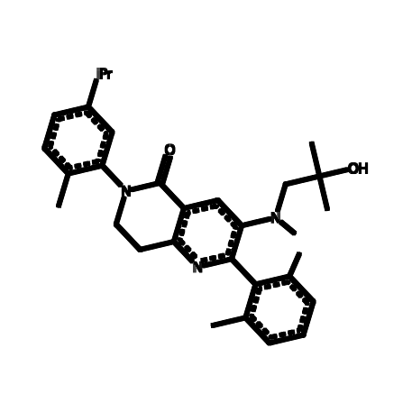 Cc1ccc(C(C)C)cc1N1CCc2nc(-c3c(C)cccc3C)c(N(C)CC(C)(C)O)cc2C1=O